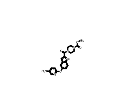 CC(C)(C)OC(=O)N1CCN(C(=O)c2cc3cc(Oc4ccc(N)cn4)ccc3[nH]2)CC1